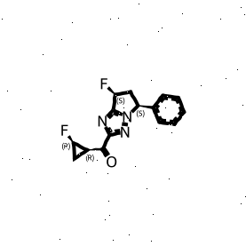 O=C(c1nc2n(n1)[C@H](c1ccccc1)C[C@@H]2F)[C@H]1C[C@H]1F